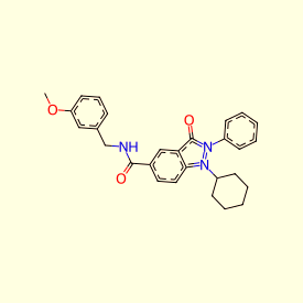 COc1cccc(CNC(=O)c2ccc3c(c2)c(=O)n(-c2ccccc2)n3C2CCCCC2)c1